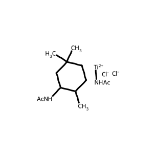 CC(=O)NC1CC(C)(C)CCC1C.CC(=O)[NH][Ti+2].[Cl-].[Cl-]